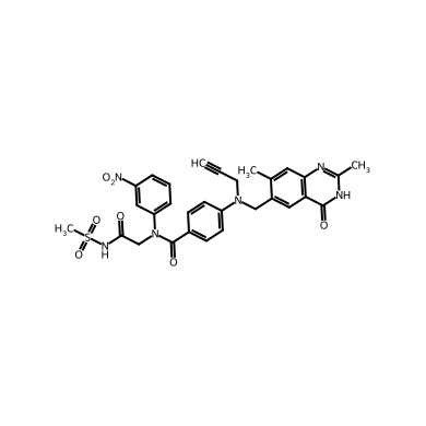 C#CCN(Cc1cc2c(=O)[nH]c(C)nc2cc1C)c1ccc(C(=O)N(CC(=O)NS(C)(=O)=O)c2cccc([N+](=O)[O-])c2)cc1